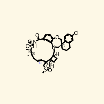 C[C@@H]1[C@@H](C)C/C=C/[C@@](O)(C[S+](C)[O-])[C@@H]2CC[C@H]2CN2C[C@@]3(CCCc4cc(Cl)ccc43)COc3ccc(cc32)C(=O)NS1(=O)=O